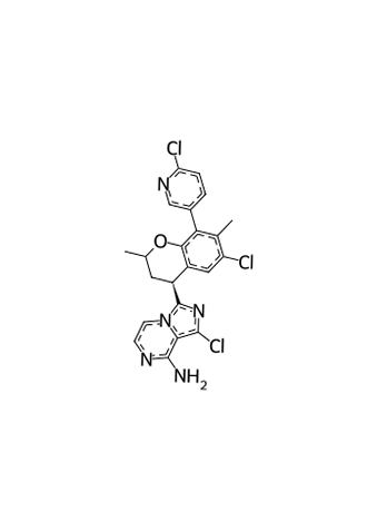 Cc1c(Cl)cc2c(c1-c1ccc(Cl)nc1)OC(C)C[C@@H]2c1nc(Cl)c2c(N)nccn12